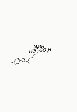 CC(=CCCCC(P(=O)(O)O)S(=O)(=O)O)COc1ccc(C)cc1